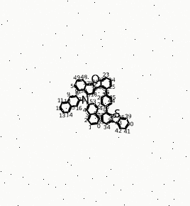 c1ccc2cc(N(c3ccc4ccccc4c3)c3cc4c(oc5cccc(-c6ccc(-c7cccc8c7sc7ccccc78)cc6)c54)c4ccccc34)ccc2c1